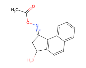 BC1C/C(=N\OC(C)=O)c2c1ccc1ccccc21